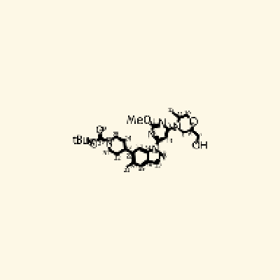 COc1nc(N2CC(CO)OCC2C)cc(-n2ncc3cc(C)c(C4CCN(C(=O)OC(C)(C)C)CC4)cc32)n1